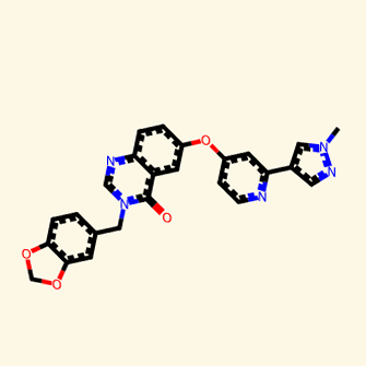 Cn1cc(-c2cc(Oc3ccc4ncn(Cc5ccc6c(c5)OCO6)c(=O)c4c3)ccn2)cn1